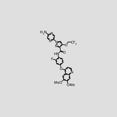 COc1cc2nccc(Oc3ccc(NC(=O)c4nn(-c5cnc(N)cn5)cc4OCC(F)(F)F)c(F)c3)c2cc1OC